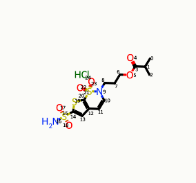 CC(C)C(=O)OCCCN1C=Cc2cc(S(N)(=O)=O)sc2S1(=O)=O.Cl